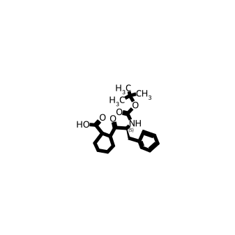 CC(C)(C)OC(=O)N[C@@H](Cc1ccccc1)C(=O)C1CCCCC1C(=O)O